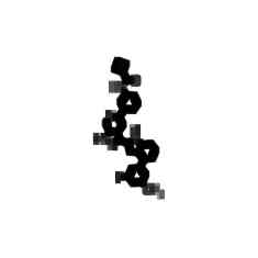 Cc1cc(F)cc(-c2cccc3[nH]c(-c4n[nH]c5cnc(-c6cccc(NC(=O)C7CCC7)c6)cc45)cc23)c1